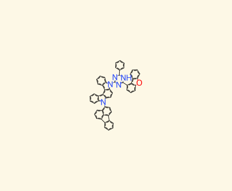 c1ccc(C2N=C(n3c4ccccc4c4c5c6ccccc6n(-c6ccc7c8c(cccc68)-c6ccccc6-7)c5ccc43)N=C(c3cccc4oc5ccccc5c34)N2)cc1